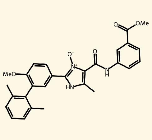 COC(=O)c1cccc(NC(=O)c2c(C)[nH]c(-c3ccc(OC)c(-c4c(C)cccc4C)c3)[n+]2[O-])c1